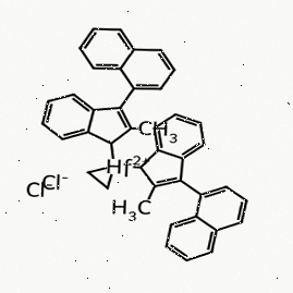 CC1=C(c2cccc3ccccc23)c2ccccc2[CH]1[Hf+2]1([CH]2C(C)=C(c3cccc4ccccc34)c3ccccc32)[CH2][CH2]1.[Cl-].[Cl-]